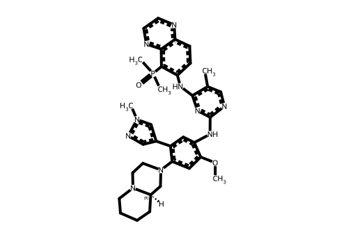 COc1cc(N2CCN3CCCC[C@@H]3C2)c(-c2cnn(C)c2)cc1Nc1ncc(C)c(Nc2ccc3nccnc3c2P(C)(C)=O)n1